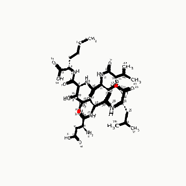 CSCC[C@H](NC(=O)[C@@H](NC(=O)[C@H](CC(=O)O)NC(=O)[C@@H](NC(=O)[C@H](CC(C)C)NC(=O)[C@H](CC(C)C)NC(=O)[C@@H](N)CC(=O)O)C(C)C)[C@@H](C)O)C(=O)O